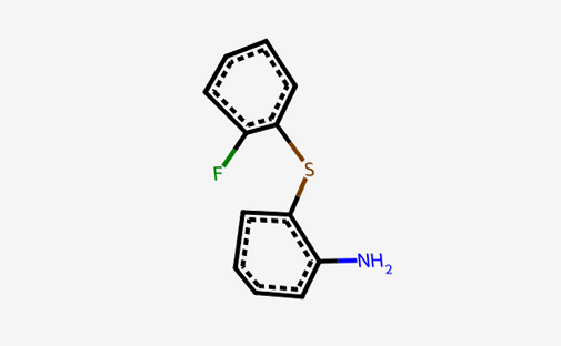 Nc1ccccc1Sc1ccccc1F